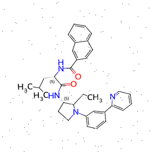 CCC1[C@@H](NC(=O)[C@H](CC(C)C)NC(=O)c2ccc3ccccc3c2)CCN1c1cccc(-c2ccccn2)c1